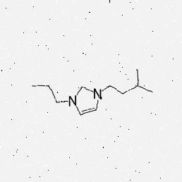 CCCN1C=CN(CCC(C)C)C1